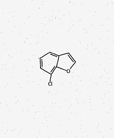 Clc1c[c]cc2ccoc12